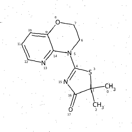 CC1(C)SC(N2CCOc3cccnc32)=NC1=O